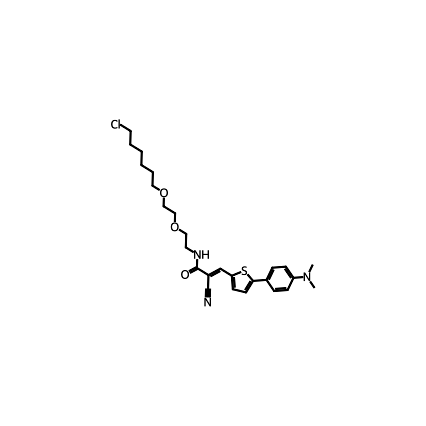 CN(C)c1ccc(-c2ccc(/C=C(\C#N)C(=O)NCCOCCOCCCCCCCl)s2)cc1